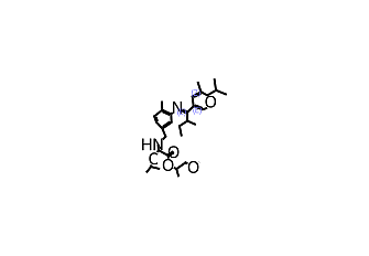 C/C=C(\C=C(\C)C(=O)C(C)C)C(=N/c1cc(CNC(CC(C)C)C(=O)OC(C)COC)ccc1C)/C(C)CC